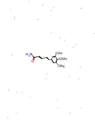 COc1cc(/C=C/C=C/C(N)=O)cc(OC)c1OC